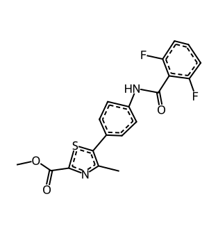 COC(=O)c1nc(C)c(-c2ccc(NC(=O)c3c(F)cccc3F)cc2)s1